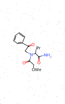 COCC(=O)N(CC(=O)c1ccccc1)C(C(N)=O)C(C)C